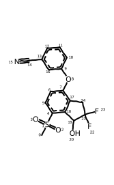 CS(=O)(=O)c1ccc(Oc2cccc(C#N)c2)c2c1C(O)C(F)(F)C2